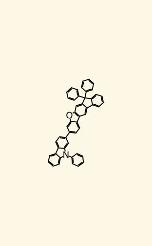 c1ccc(-n2c3ccccc3c3ccc(-c4ccc5c(c4)oc4cc6c(cc45)-c4ccccc4C6(c4ccccc4)c4ccccc4)cc32)cc1